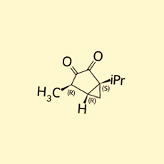 CC(C)[C@@]12C[C@@H]1[C@@H](C)C(=O)C2=O